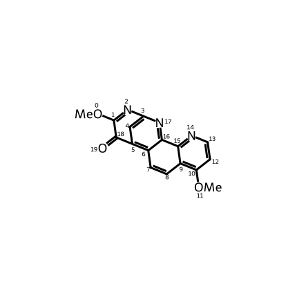 COC1=Nc2cc(c3ccc4c(OC)ccnc4c3n2)C1=O